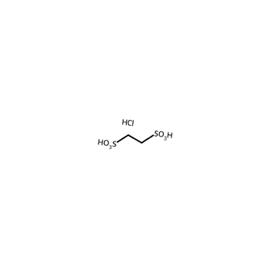 Cl.O=S(=O)(O)CCS(=O)(=O)O